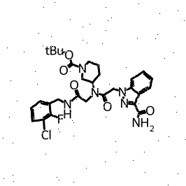 CC(C)(C)OC(=O)N1CCC[C@@H](N(CC(=O)NCc2cccc(Cl)c2F)C(=O)Cn2nc(C(N)=O)c3ccccc32)C1